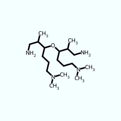 CC(CN)C(CCCN(C)C)OC(CCCN(C)C)C(C)CN